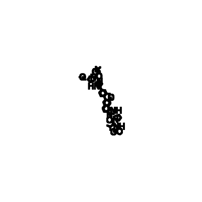 COC[C@H]1C[C@@H](c2ncc(-c3ccc4c(c3)COc3cc5c(ccc6nc([C@@H]7CCCN7C(=O)[C@@H](NC(=O)OC)C(C)C)[nH]c65)cc3-4)[nH]2)N(C(=O)OC(C)(C)C)C1